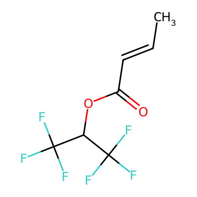 C/C=C/C(=O)OC(C(F)(F)F)C(F)(F)F